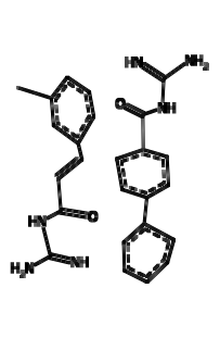 Cc1cccc(C=CC(=O)NC(=N)N)c1.N=C(N)NC(=O)c1ccc(-c2ccccc2)cc1